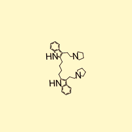 c1ccc2c(CCN3CCCC3)c(CCCCc3[nH]c4ccccc4c3CCN3CCCC3)[nH]c2c1